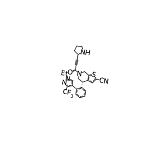 CCn1cc(-c2ccccc2[C@@H]2CN(C(=O)C#CC3CCCN3)Cc3sc(C#N)cc32)c(C(F)(F)F)n1